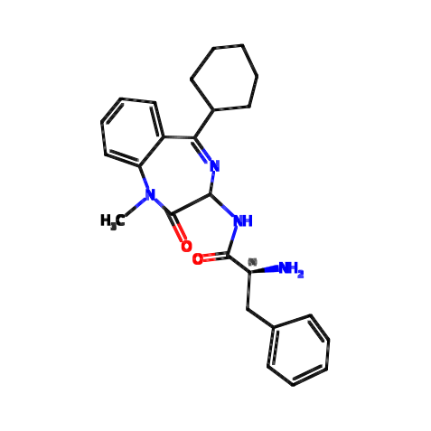 CN1C(=O)C(NC(=O)[C@@H](N)Cc2ccccc2)N=C(C2CCCCC2)c2ccccc21